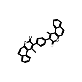 Cc1c(-c2ccc(-c3c(C)c4c(ccc5ccccc54)oc3=O)cc2)c(=O)oc2ccc3ccccc3c12